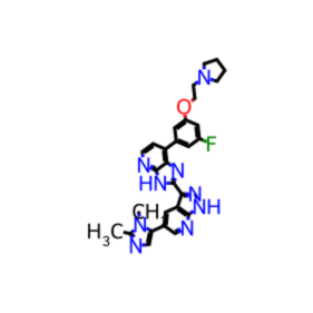 Cc1ncc(-c2cnc3[nH]nc(-c4nc5c(-c6cc(F)cc(OCCN7CCCC7)c6)ccnc5[nH]4)c3c2)n1C